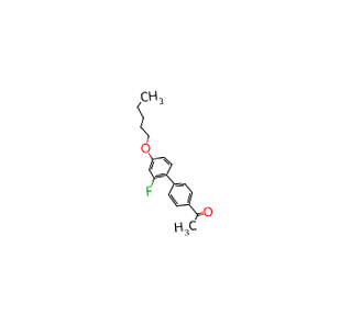 CCCCCOc1ccc(-c2ccc(C(C)=O)cc2)c(F)c1